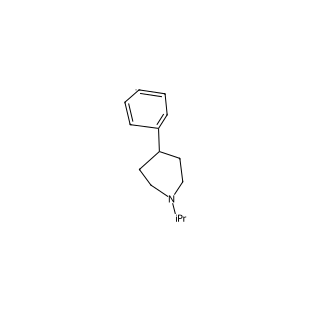 CC(C)N1CCC(c2cc[c]cc2)CC1